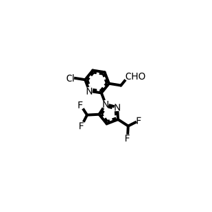 O=CCc1ccc(Cl)nc1-n1nc(C(F)F)cc1C(F)F